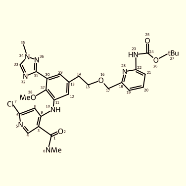 CNC(=O)c1cnc(Cl)cc1Nc1cc(CCOCc2cccc(NC(=O)OC(C)(C)C)n2)cc(-c2ncn(C)n2)c1OC